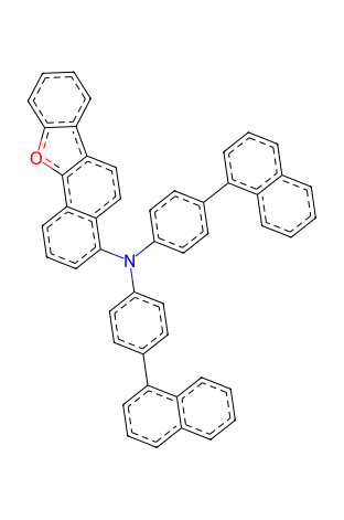 c1ccc2c(-c3ccc(N(c4ccc(-c5cccc6ccccc56)cc4)c4cccc5c4ccc4c6ccccc6oc54)cc3)cccc2c1